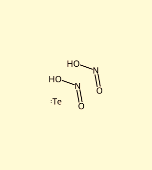 O=NO.O=NO.[Te]